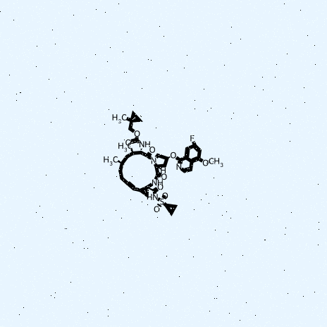 COc1cc(F)cc2c(O[C@@H]3C[C@H]4C(=O)N[C@]5(C(=O)NS(=O)(=O)C6CC6)CC5/C=C\CC[C@@H](C)C[C@@H](C)[C@H](NC(=O)OCC5(C)CC5)C(=O)N4C3)nccc12